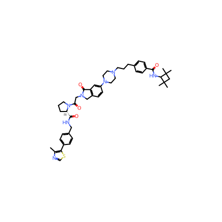 Cc1ncsc1-c1ccc(CNC(=O)[C@@H]2CCCN2C(=O)CN2Cc3ccc(N4CCN(CCCc5ccc(C(=O)NC6C(C)(C)CC6(C)C)cc5)CC4)cc3C2=O)cc1